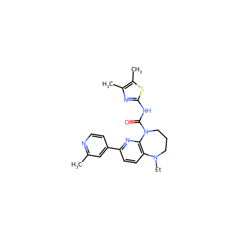 CCN1CCCN(C(=O)Nc2nc(C)c(C)s2)c2nc(-c3ccnc(C)c3)ccc21